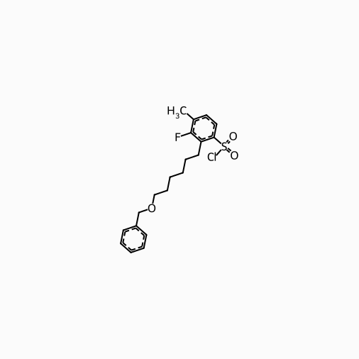 Cc1ccc(S(=O)(=O)Cl)c(CCCCCCOCc2ccccc2)c1F